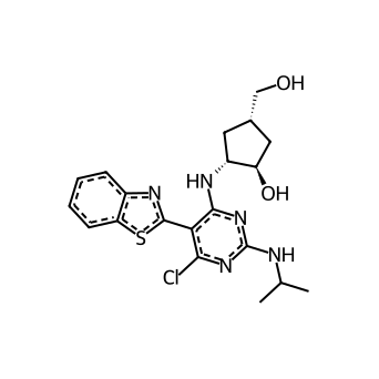 CC(C)Nc1nc(Cl)c(-c2nc3ccccc3s2)c(N[C@@H]2C[C@H](CO)C[C@H]2O)n1